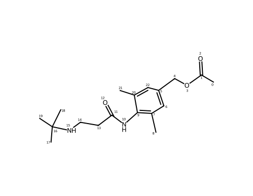 CC(=O)OCc1cc(C)c(NC(=O)CCNC(C)(C)C)c(C)c1